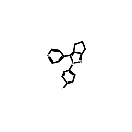 Fc1ccc(-n2nc3c(c2-c2ccncc2)CCC3)cc1